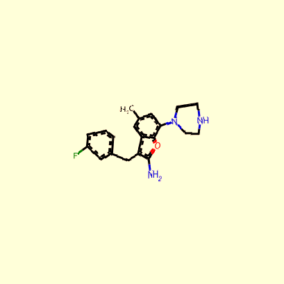 Cc1cc(N2CCNCC2)c2oc(N)c(Cc3cccc(F)c3)c2c1